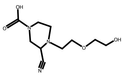 N#CC1CN(C(=O)O)CCN1CCOCCO